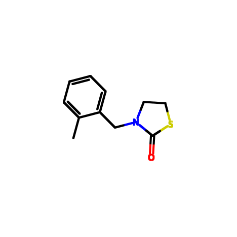 Cc1ccccc1CN1CCSC1=O